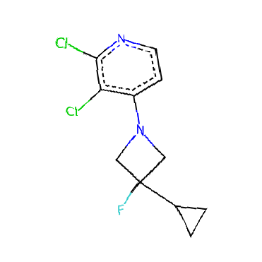 FC1(C2CC2)CN(c2ccnc(Cl)c2Cl)C1